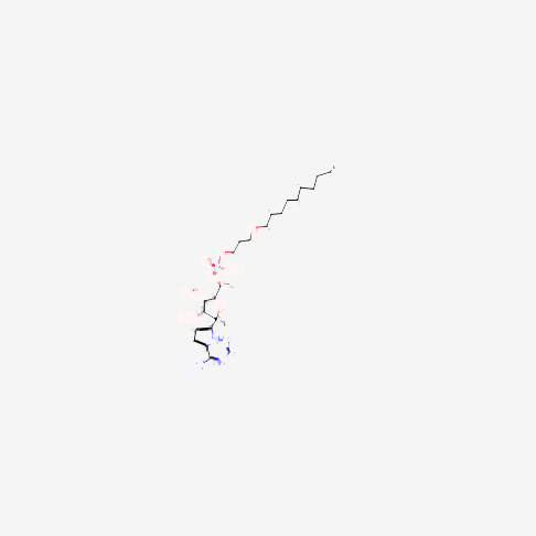 CCCCCCCCCCOCCCOP(=O)(O)O[C@@H](C)[C@H]1O[C@@](C)(c2ccc3c(N)ncnn23)[C@H](O)[C@@H]1O